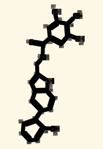 O=C(NCc1cc2cc(-c3ccccc3O)ccc2[nH]1)c1cc(O)c(O)c(O)c1